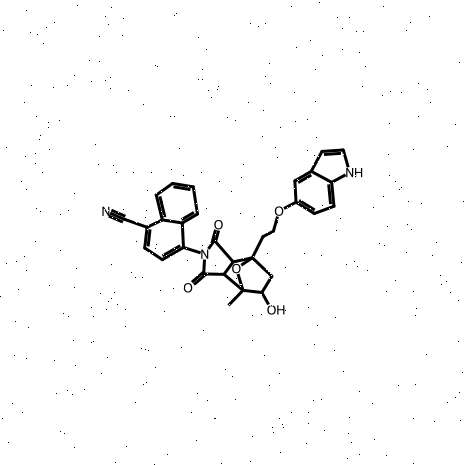 CC12OC(CCOc3ccc4[nH]ccc4c3)(CC1O)C1C(=O)N(c3ccc(C#N)c4ccccc34)C(=O)C12